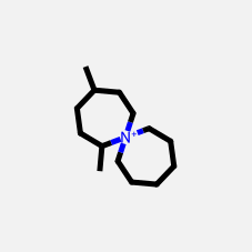 CC1CCC(C)[N+]2(CCCCCC2)CC1